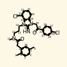 Cc1ccc(C)c(CC(=O)N(C)CCCn2c(=N)n(CC(=O)c3ccc(Cl)cc3)c3cccc(Cl)c32)c1